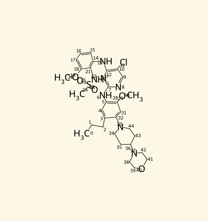 CCCc1cc(Nc2ncc(Cl)c(Nc3cccc(OC)c3NS(C)(=O)=O)n2)c(OC)cc1N1CCC(N2CCOCC2)CC1